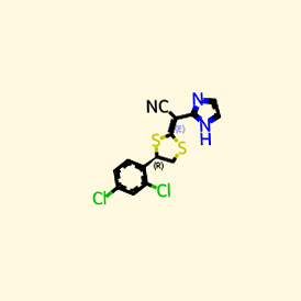 N#C/C(=C1/SC[C@@H](c2ccc(Cl)cc2Cl)S1)c1ncc[nH]1